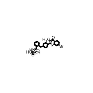 Cn1c(-c2ccc(Cc3ccccc3C(=O)NP(=O)(O)O)cc2)nc2cc(Br)ccc2c1=O